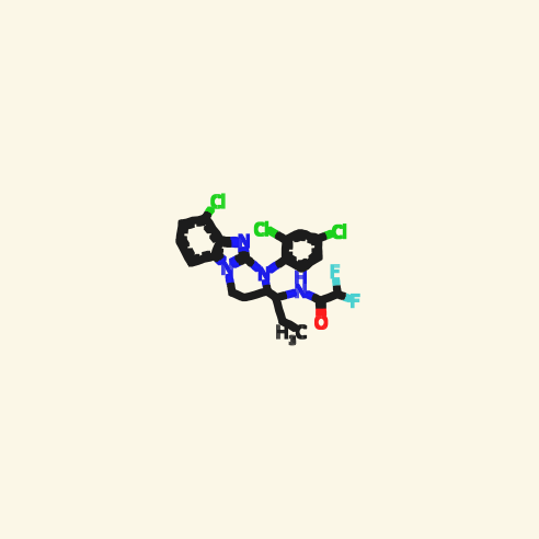 CCC(NC(=O)C(F)F)C1CCn2c(nc3c(Cl)cccc32)N1c1ccc(Cl)cc1Cl